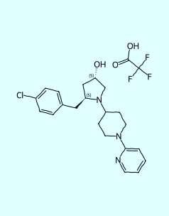 O=C(O)C(F)(F)F.O[C@H]1C[C@H](Cc2ccc(Cl)cc2)N(C2CCN(c3ccccn3)CC2)C1